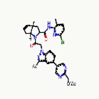 COCc1ncc(-c2ccc3c(c2)c(C(C)=O)nn3CC(=O)N2[C@H](C(=O)Nc3nc(Br)ccc3C)C[C@@]3(C)C#CC[C@@H]23)cn1